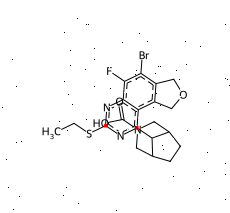 CCSc1nc(C2C3CCC2CN(C(=O)O)C3)c2c3c(c(Br)c(F)c2n1)COC3